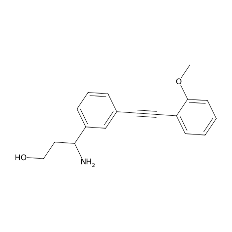 COc1ccccc1C#Cc1cccc(C(N)CCO)c1